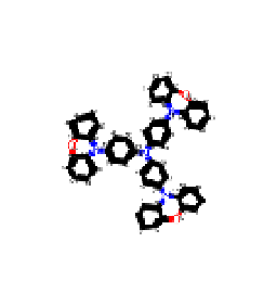 c1ccc2c(c1)Oc1ccccc1N2c1ccc(N(c2ccc(N3c4ccccc4Oc4ccccc43)cc2)c2ccc(N3c4ccccc4Oc4ccccc43)cc2)cc1